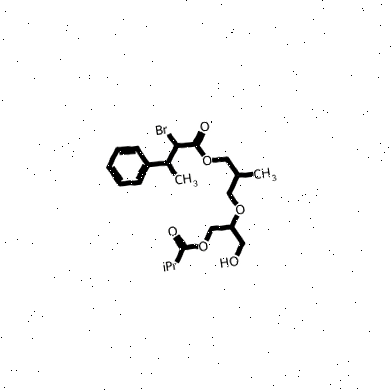 CC(COC(=O)C(Br)C(C)c1ccccc1)COC(CO)COC(=O)C(C)C